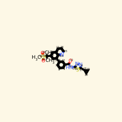 CC(C)(c1cc(-c2cccc(C(=O)Nc3nnc(C4CC4)s3)c2)c2ncccc2c1)S(C)(=O)=O